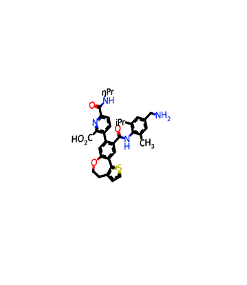 CCCNC(=O)c1ccc(-c2cc3c(cc2C(=O)Nc2c(C)cc(CN)cc2C(C)C)-c2sccc2CCO3)c(C(=O)O)n1